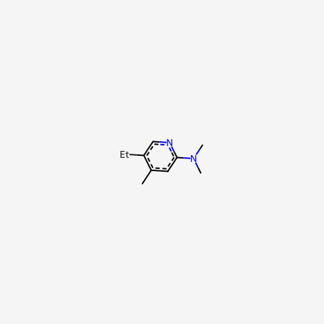 CCc1cnc(N(C)C)cc1C